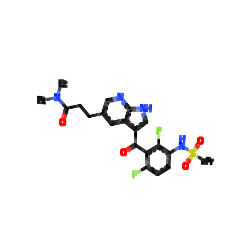 CCCS(=O)(=O)Nc1ccc(F)c(C(=O)c2c[nH]c3ncc(CCC(=O)N(CC)CC)cc23)c1F